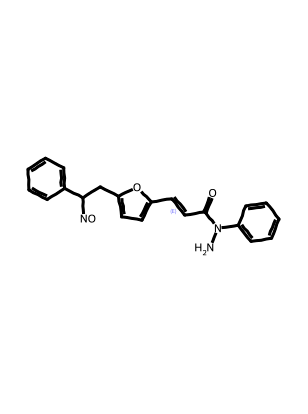 NN(C(=O)/C=C/c1ccc(CC(N=O)c2ccccc2)o1)c1ccccc1